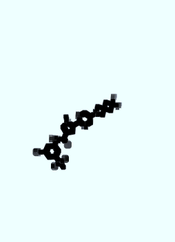 Cn1cc(C(=O)Nc2cc(Cl)cc(S(C)(=O)=O)c2)cc1-c1ncc(N2CC3(C2)CC(F)(F)C3)cn1